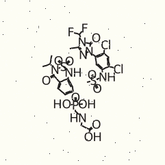 CC(C)N1C(=O)c2ccccc2NS1(=O)=O.Cc1nn(-c2cc(NS(C)(=O)=O)c(Cl)cc2Cl)c(=O)n1C(F)F.O=C(O)CNCP(=O)(O)O